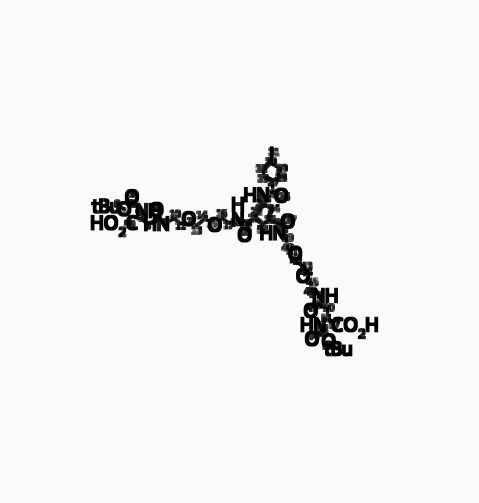 CC(C)(C)OC(=O)NC(CC(=O)NCCOCCOCCNC(=O)c1cc(NC(=O)c2ccc(I)cc2)cc(C(=O)NCCOCCOCCNC(=O)CC(NC(=O)OC(C)(C)C)C(=O)O)c1)C(=O)O